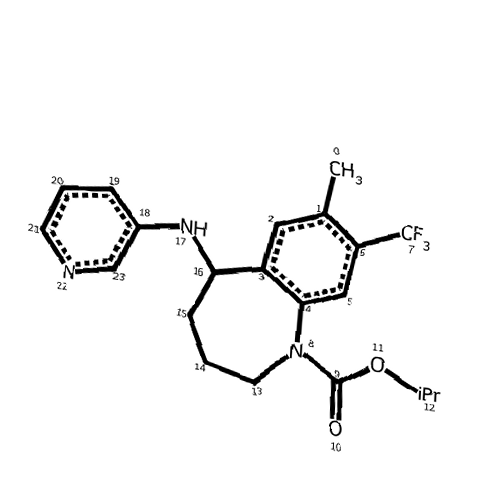 Cc1cc2c(cc1C(F)(F)F)N(C(=O)OC(C)C)CCCC2Nc1cccnc1